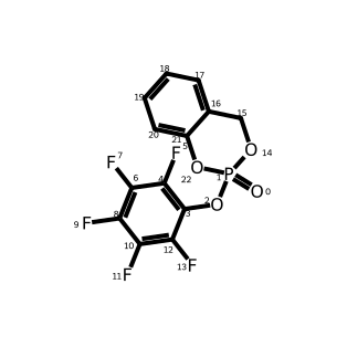 O=P1(Oc2c(F)c(F)c(F)c(F)c2F)OCc2ccccc2O1